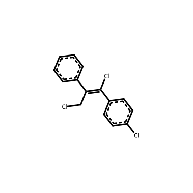 ClC/C(=C(/Cl)c1ccc(Cl)cc1)c1ccccc1